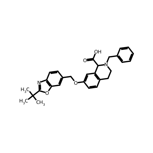 CC(C)(C)c1nc2ccc(COc3ccc4c(c3)C(C(=O)O)N(Cc3ccccc3)CC4)cc2o1